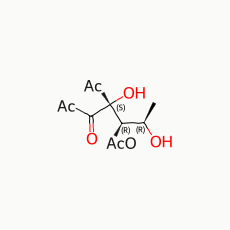 CC(=O)O[C@H]([C@@H](C)O)[C@](O)(C(C)=O)C(=O)C(C)=O